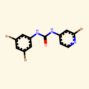 O=C(Nc1cc(Br)cc(Br)c1)Nc1ccnc(Br)c1